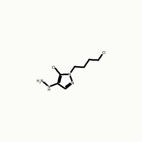 NNc1cnn(CCCCCl)c1Cl